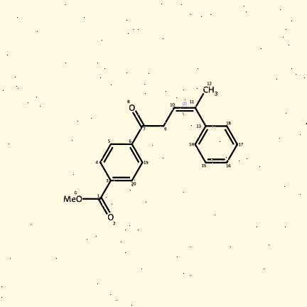 COC(=O)c1ccc(C(=O)C/C=C(/C)c2ccccc2)cc1